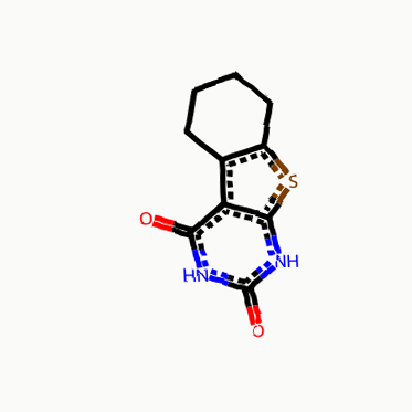 O=c1[nH]c(=O)c2c3c(sc2[nH]1)CCCC3